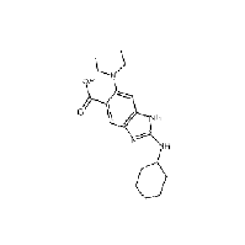 CCN(CC)c1cc2[nH]c(NC3CCCCC3)nc2cc1C(=O)O